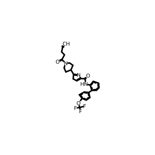 C#CCCC(=O)N1CCC(C2=NC(C(=O)Nc3ccccc3-c3ccc(OC(F)(F)F)cc3)=CC2)CC1